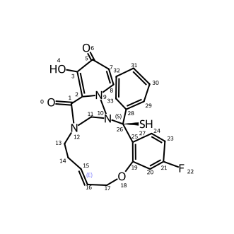 O=C1c2c(O)c(=O)ccn2N2CN1CC/C=C/COc1cc(F)ccc1[C@@]2(S)c1ccccc1